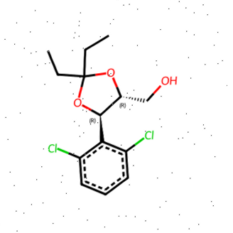 CCC1(CC)O[C@H](c2c(Cl)cccc2Cl)[C@@H](CO)O1